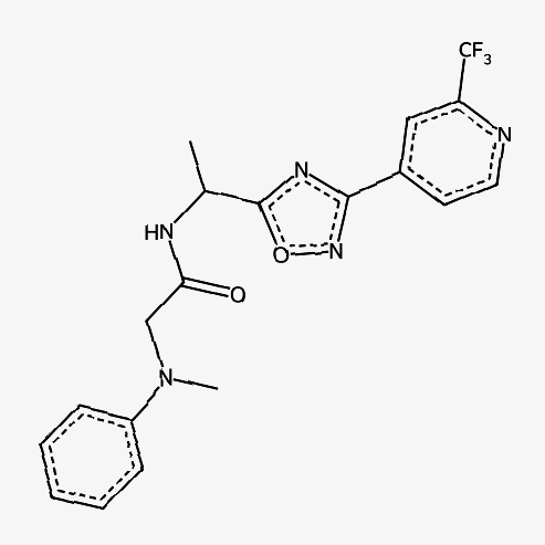 CC(NC(=O)CN(C)c1ccccc1)c1nc(-c2ccnc(C(F)(F)F)c2)no1